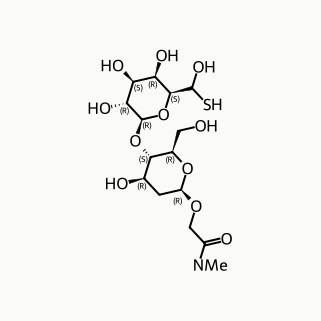 CNC(=O)CO[C@H]1C[C@@H](O)[C@H](O[C@@H]2O[C@H](C(O)S)[C@H](O)[C@H](O)[C@H]2O)[C@@H](CO)O1